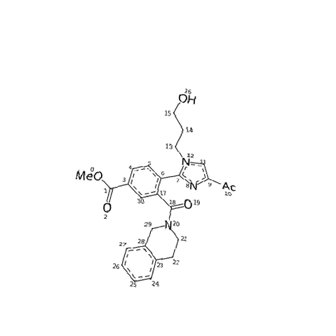 COC(=O)c1ccc(-c2nc(C(C)=O)cn2CCCO)c(C(=O)N2CCc3ccccc3C2)c1